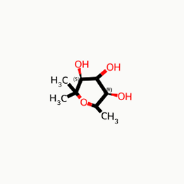 CC1OC(C)(C)[C@@H](O)C(O)[C@H]1O